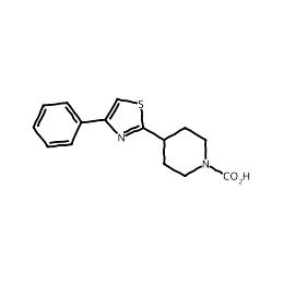 O=C(O)N1CCC(c2nc(-c3ccccc3)cs2)CC1